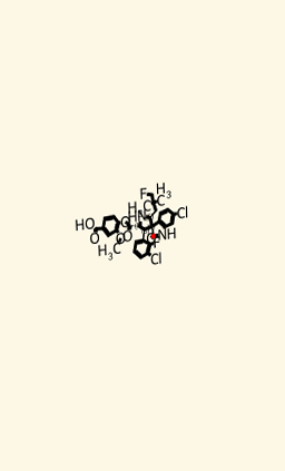 COc1cc(C(=O)O)ccc1OC(=O)[C@@H]1N[C@@H](CC(C)(C)CF)[C@@]2(C(=O)Nc3cc(Cl)ccc32)[C@H]1c1cccc(Cl)c1F